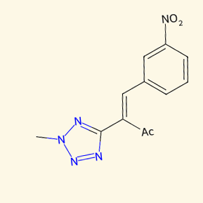 CC(=O)/C(=C\c1cccc([N+](=O)[O-])c1)c1nnn(C)n1